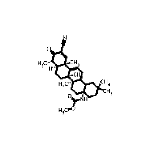 COC(=O)N[C@]12CCC(C)(C)CC1C1CC=C3[C@@]4(C)C=C(C#N)C(=O)[C@@H](C)[C@@H]4CC[C@@]3(C)[C@]1(C)CC2